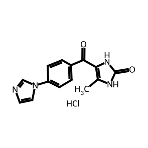 Cc1[nH]c(=O)[nH]c1C(=O)c1ccc(-n2ccnc2)cc1.Cl